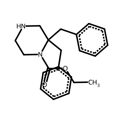 CCOC(=O)N1CCNCC1(Cc1ccccc1)Cc1ccccc1